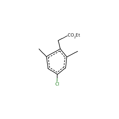 CCOC(=O)Cc1c(C)cc(Cl)cc1C